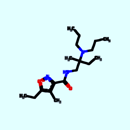 CCCN(CCC)C(C)(CC)CNC(=O)c1noc(CC)c1C